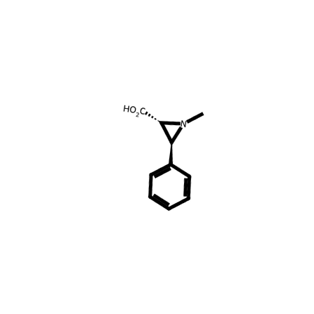 CN1[C@@H](C(=O)O)[C@@H]1c1ccccc1